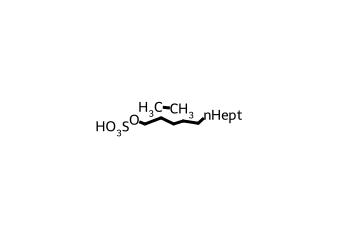 CC.CCCCCCCCCCCCOS(=O)(=O)O